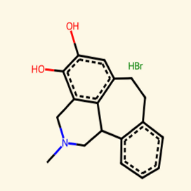 Br.CN1Cc2c(O)c(O)cc3c2C(C1)c1ccccc1CC3